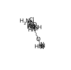 N=C(NCCCCCCOCCCc1nnn[nH]1)NC(=O)c1nc(Cl)c(N)nc1N